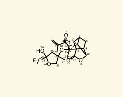 C=C(C)C(=O)OC1C2CC3C1OC(=O)C3(C(CC)(CC)OC1(C)COC(O)(C(F)(F)F)C1)C2